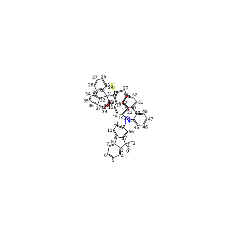 CC1(C)c2ccccc2-c2ccc(N(c3ccc4c5c(ccc4c3)Sc3ccccc3C53c4ccccc4-c4ccccc43)c3ccccc3-c3ccccc3)cc21